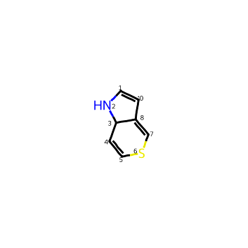 [C]1=CNC2C=CSC=C12